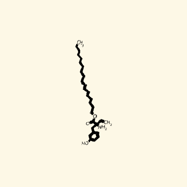 C=CC(N)(Cc1cccc(O)c1)C(=O)OCCCCCCCCCCCCCCCCCC